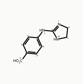 O=C(O)c1ccc(NC2=NCCN2)cc1